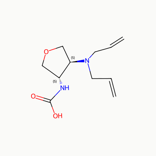 C=CCN(CC=C)[C@@H]1COC[C@H]1NC(=O)O